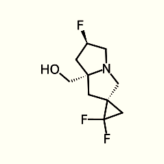 OC[C@]12C[C@@H](F)CN1C[C@@]1(CC1(F)F)C2